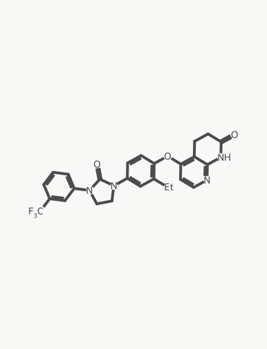 CCc1cc(N2CCN(c3cccc(C(F)(F)F)c3)C2=O)ccc1Oc1ccnc2c1CCC(=O)N2